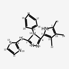 Cc1[nH]c(-c2nnc(Sc3nccs3)n2-c2ccccc2)c(C)c1C